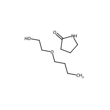 CCCCOCCO.O=C1CCCN1